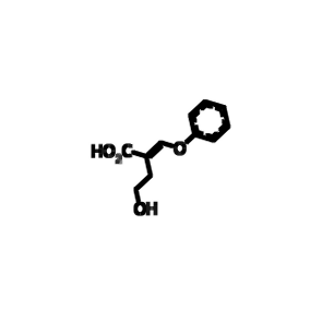 O=C(O)C(=COc1ccccc1)CCO